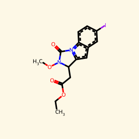 CCOC(=O)CC1c2cc3cc(I)ccc3n2C(=O)N1OC